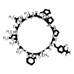 CC[C@H](C)[C@@H]1NC(=O)[C@H](CC(C)C)N(C)C(=O)C[C@@H](C)NC(=O)[C@H](CC2CCCC2)N(C)C(=O)C2(CCCC2)NC(=O)[C@@H]2CCCN2C(=O)[C@H](CCc2ccc(C(F)(F)F)c(Cl)c2)NC(=O)CN(C)C(=O)[C@H](CC2CCCCC2)N(C)C(=O)CN(C)C(=O)CN(C)C1=O